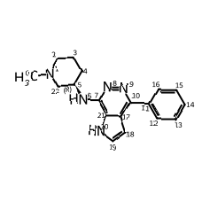 CN1CCC[C@@H](Nc2nnc(-c3ccccc3)c3cc[nH]c23)C1